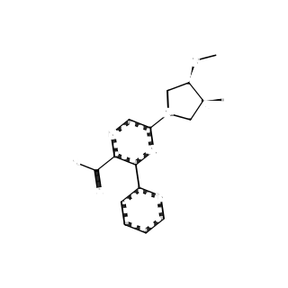 CN[C@@H]1CN(c2cnc(C(N)=O)c(-c3ccccn3)n2)C[C@@H]1F